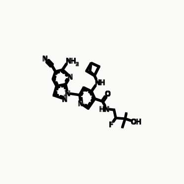 CC(C)(O)C(F)CNC(=O)c1cnc(-n2ncc3cc(C#N)c(N)nc32)cc1NC12CC(C1)C2